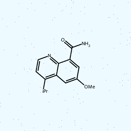 COc1cc(C(N)=O)c2nccc(C(C)C)c2c1